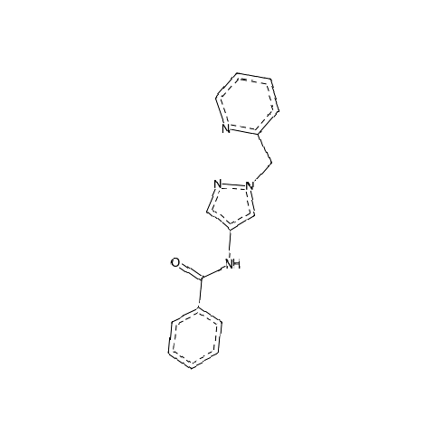 O=C(Nc1cnn(Cc2ccccn2)c1)c1ccccc1